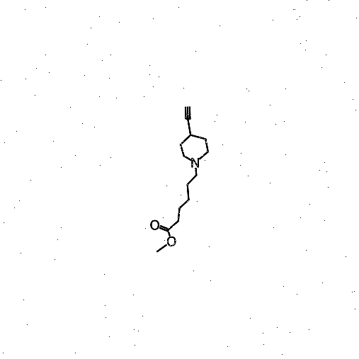 C#CC1CCN(CCCCCC(=O)OC)CC1